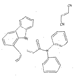 C=CC(=O)N(c1ccccc1)c1ccccc1.C=Cc1cccc2c1[nH]c1ccccc12.N#CC=CC#N